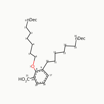 CCCCCCCCCCCCCCCCOc1c(CCCCCCCCCCCCCCCC)cccc1C(=O)O